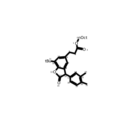 CCCCCCCCOC(=O)CCc1cc2c(c(C(C)(C)C)c1)OC(=O)C2c1ccc(C)c(C)c1